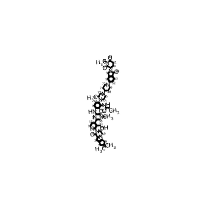 C=CC(=O)Nc1cc(Nc2nc(-c3ccnc(N4CCn5c(cc6c5CC(C)(C)C6)C4=O)c3CO)cn(C)c2=O)ccc1N1CCN(C2CCN(c3ccc4c(c3)CN(C3CCC(=O)N(C)C3=O)C4=O)CC2)C[C@@H]1C